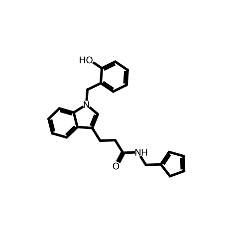 O=C(CCc1cn(Cc2ccccc2O)c2ccccc12)NCC1=CC=CC1